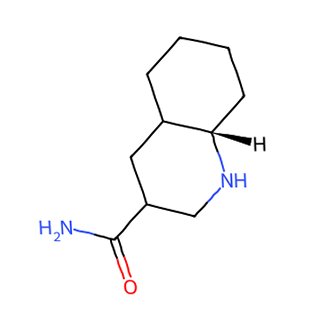 NC(=O)C1CN[C@H]2CCCCC2C1